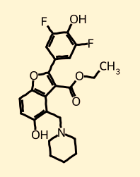 CCOC(=O)c1c(-c2cc(F)c(O)c(F)c2)oc2ccc(O)c(CN3CCCCC3)c12